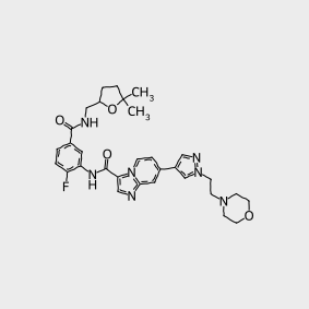 CC1(C)CCC(CNC(=O)c2ccc(F)c(NC(=O)c3cnc4cc(-c5cnn(CCN6CCOCC6)c5)ccn34)c2)O1